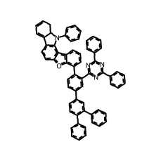 C1=CCC2C(=C1)c1ccc3oc4c(-c5ccc(-c6ccc(-c7ccccc7)c(-c7ccccc7)c6)cc5-c5nc(-c6ccccc6)nc(-c6ccccc6)n5)cccc4c3c1N2c1ccccc1